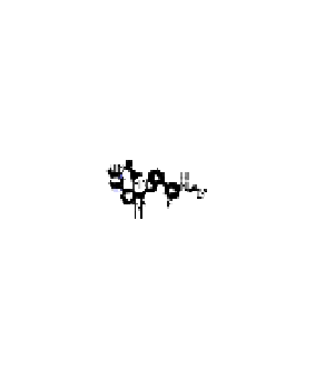 C=C/C(=C\C(=C/C)c1ccc2[nH]nc(-c3cc4c(-c5cc(F)cc(NCCN(C)C)c5)cccc4[nH]3)c2c1)NC(=C)C1CC1